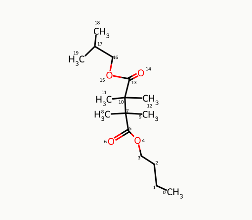 CCCCOC(=O)C(C)(C)C(C)(C)C(=O)OCC(C)C